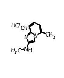 CNc1cn2c(C)cccc2n1.Cl.Cl